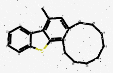 Cc1cc2c(c3sc4ccccc4c13)CCCCCCCC2